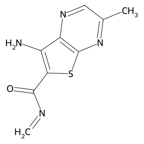 C=NC(=O)c1sc2nc(C)cnc2c1N